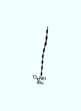 CC#CC#CC#CC#CC#CC#CC#CC#CNC(=O)C(C)CC